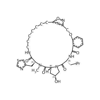 CC(C)C[C@H]1NC(=O)c2ccccc2OCc2noc(n2)CCCCCCCNC(=O)[C@H](Cc2cscn2)N(C)C(=O)[C@H]2C[C@H](O)CN2C1=O